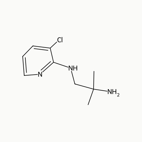 CC(C)(N)CNc1ncccc1Cl